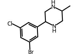 CC1CNC(c2cc(Cl)cc(Br)c2)CN1